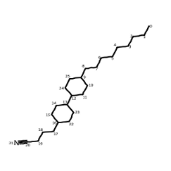 CCCCCCCCCC1CCC(C2CCC(CCCC#N)CC2)CC1